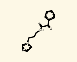 O=C(NCCCn1ccnc1)C(=O)c1ccccc1